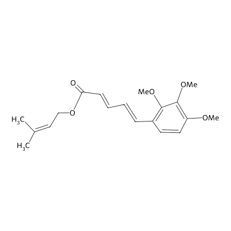 COc1ccc(C=CC=CC(=O)OCC=C(C)C)c(OC)c1OC